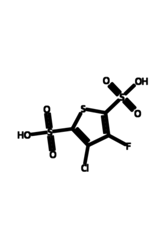 O=S(=O)(O)c1sc(S(=O)(=O)O)c(Cl)c1F